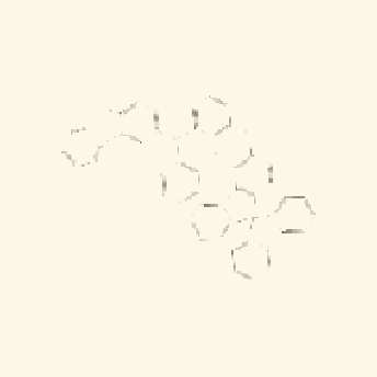 c1ccc(N(c2ccc3oc4ccccc4c3c2)c2cccc3c2Oc2c(ccc4c2-c2ccccc2C42c4ccccc4-c4ccccc42)O3)cc1